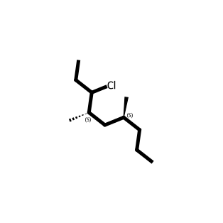 CCC[C@H](C)C[C@H](C)C(Cl)CC